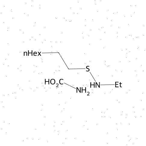 CCCCCCCCSNCC.NC(=O)O